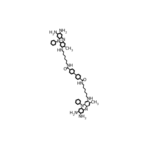 CC1=CC2=Nc3cc(N)c(N)cc3N(c3ccccc3)C2C=C1NCCCCCCNC(=O)c1ccc(-c2ccc(C(=O)NCCCCCCNc3cc4c(cc3C)nc3cc(N)c(N)cc3[n+]4-c3ccccc3)cc2)cc1